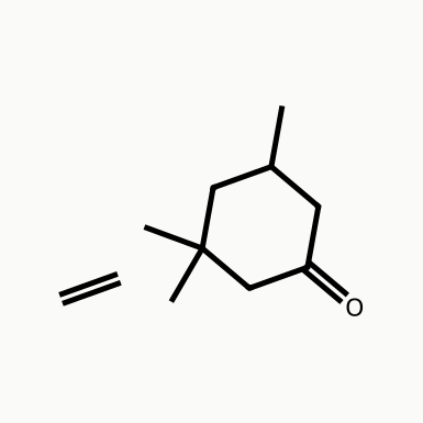 C=C.CC1CC(=O)CC(C)(C)C1